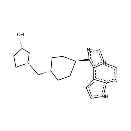 O[C@H]1CCN(C[C@H]2CC[C@H](c3nnn4cnc5[nH]ccc5c34)CC2)C1